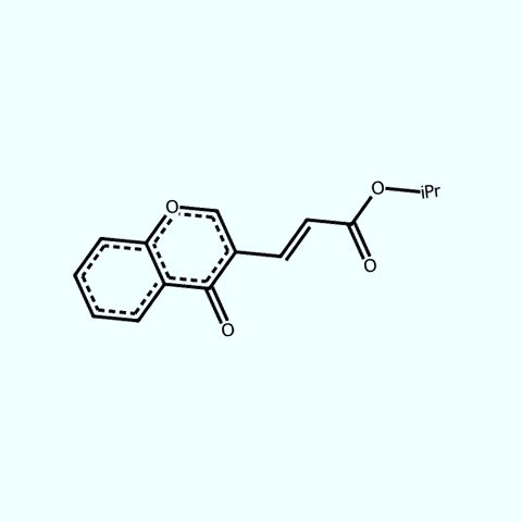 CC(C)OC(=O)/C=C/c1coc2ccccc2c1=O